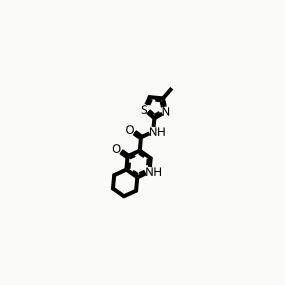 Cc1csc(NC(=O)c2c[nH]c3c(c2=O)CCCC3)n1